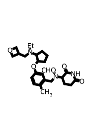 CCN(CC1COC1)C1CCCC1Oc1ccc(C)c(CN(C=O)C2CCC(=O)NC2=O)c1